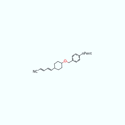 CCCCCc1ccc(COC2CCC(C=CC=CC#N)CC2)cc1